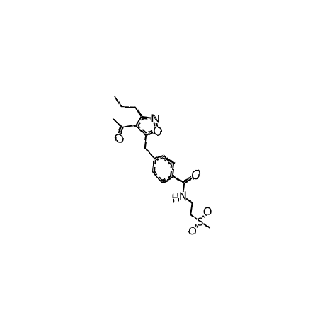 CCCc1noc(Cc2ccc(C(=O)NCCS(C)(=O)=O)cc2)c1C(C)=O